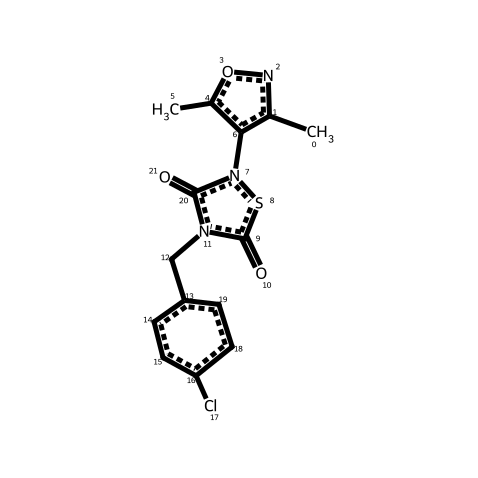 Cc1noc(C)c1-n1sc(=O)n(Cc2ccc(Cl)cc2)c1=O